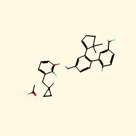 CC1(C)CCC=C1c1cc(COc2cccc([C@@H](CC(=O)O)C3(C)CC3)c2F)ccc1-c1cc(C(F)F)ccc1F